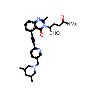 CNC(=O)CCC(C=O)n1c(C)nc2cccc(C#Cc3ccc(CN4CC(C)CC(C)C4)cn3)c2c1=O